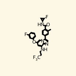 Cc1cc(-c2cnc3c(NCCC(F)(F)F)cc(Oc4cccc(F)c4)cn23)ccc1C(=O)N[C@H]1C[C@@H]1F